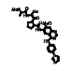 CNC(C)C(=O)NC(C(=O)N1CCCC1C(=O)Nc1cc2c(Nc3ccc(-n4ccnc4)cc3)ncnc2cc1OC)C(C)(C)C